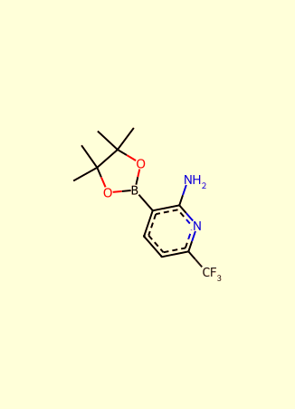 CC1(C)OB(c2ccc(C(F)(F)F)nc2N)OC1(C)C